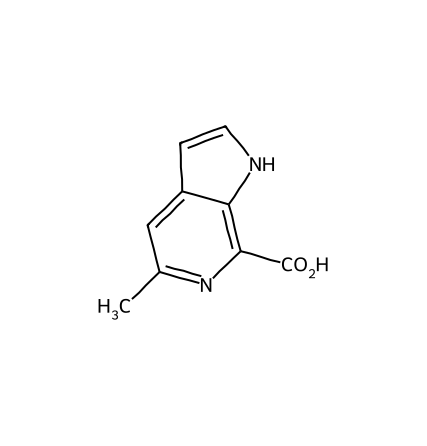 Cc1cc2cc[nH]c2c(C(=O)O)n1